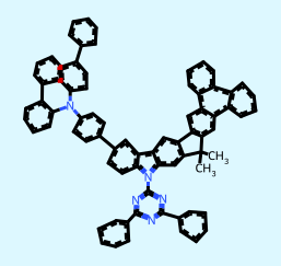 CC1(C)c2cc3c4ccccc4c4ccccc4c3cc2-c2cc3c4cc(-c5ccc(N(c6ccc(-c7ccccc7)cc6)c6ccccc6-c6ccccc6)cc5)ccc4n(-c4nc(-c5ccccc5)nc(-c5ccccc5)n4)c3cc21